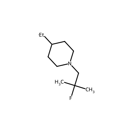 C[CH]C1CCN(CC(C)(C)F)CC1